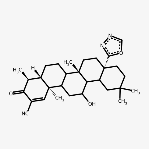 C[C@@H]1C(=O)C(C#N)=C[C@]2(C)C3CC(O)C4C5CC(C)(C)CC[C@]5(c5nnco5)CC[C@@]4(C)C3CC[C@@H]12